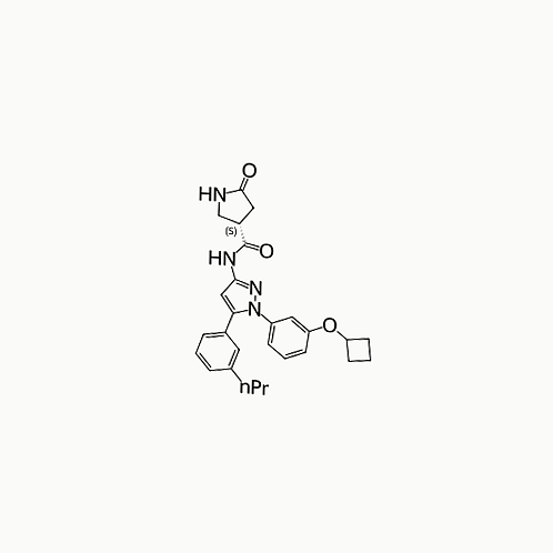 CCCc1cccc(-c2cc(NC(=O)[C@@H]3CNC(=O)C3)nn2-c2cccc(OC3CCC3)c2)c1